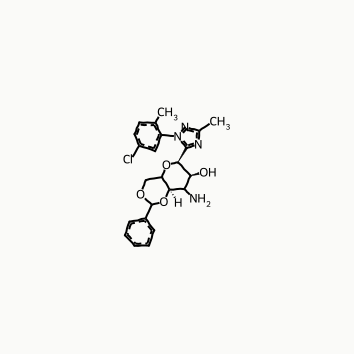 Cc1nc([C@@H]2OC3COC(c4ccccc4)O[C@@H]3C(N)[C@@H]2O)n(-c2cc(Cl)ccc2C)n1